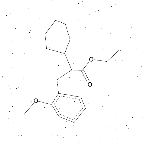 CCOC(=O)C(Cc1ccccc1OC)C1CCCCC1